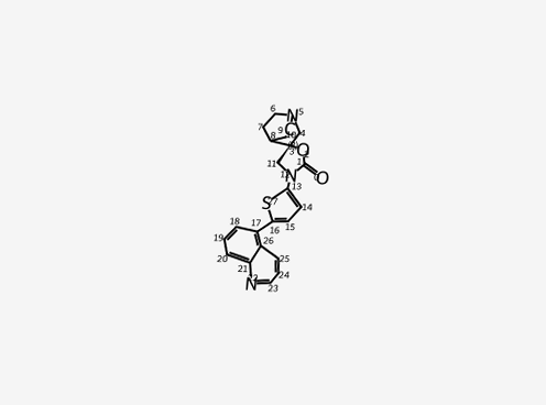 O=C1O[C@]2(CN3CCC2CC3)CN1c1ccc(-c2cccc3ncccc23)s1